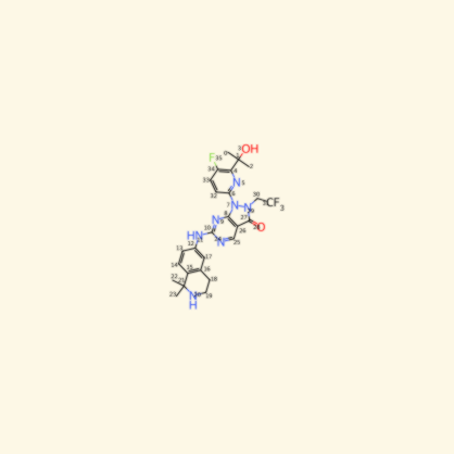 CC(C)(O)c1nc(-n2c3nc(Nc4ccc5c(c4)CCNC5(C)C)ncc3c(=O)n2CC(F)(F)F)ccc1F